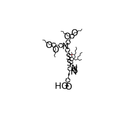 CCCCOc1ccc(-c2ccc(N(c3ccc(-c4cc5c(s4)-c4sc(-c6ccc(C#Cc7ccc(C(=O)O)cc7)c7nsnc67)cc4C5(CC(CC)CCCC)CC(CC)CCCC)cc3)c3ccc(-c4ccc(OCCCC)cc4OCCCC)cc3)cc2)c(OCCCC)c1